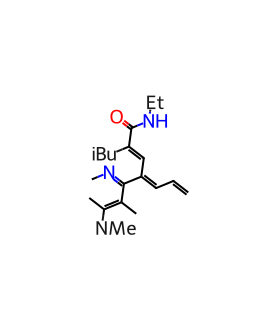 C=C/C=C(\C=C(\C(=O)NCC)C(C)CC)C(=N/C)/C(C)=C(\C)NC